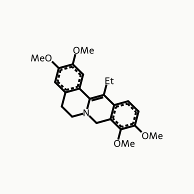 CCC1=C2c3cc(OC)c(OC)cc3CCN2Cc2c1ccc(OC)c2OC